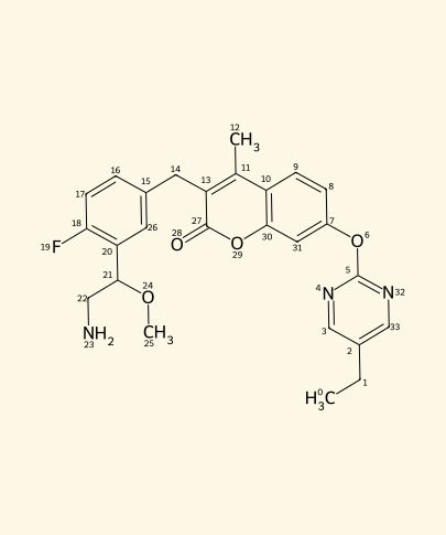 CCc1cnc(Oc2ccc3c(C)c(Cc4ccc(F)c(C(CN)OC)c4)c(=O)oc3c2)nc1